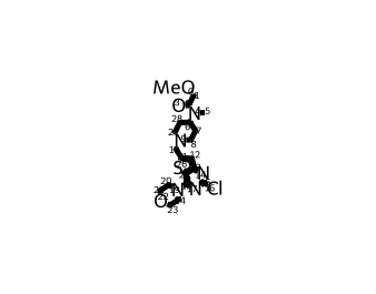 COCC(=O)N(C)C1CCN(Cc2cc3nc(Cl)nc(N4CCOCC4)c3s2)CC1